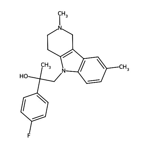 Cc1ccc2c(c1)c1c(n2CC(C)(O)c2ccc(F)cc2)CCN(C)C1